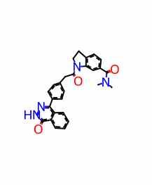 CN(C)C(=O)c1ccc2c(c1)N(C(=O)Cc1ccc(-c3n[nH]c(=O)c4ccccc34)cc1)CC2